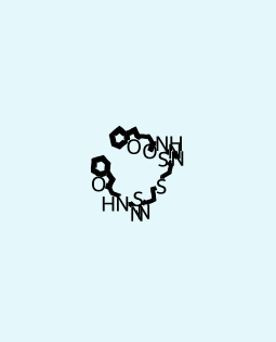 O=C(Cc1cc2ccccc2o1)Nc1nnc(CCSCCc2nnc(NCCc3cc4ccccc4o3)s2)s1